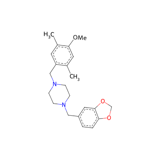 COc1cc(C)c(CN2CCN(Cc3ccc4c(c3)OCO4)CC2)cc1C